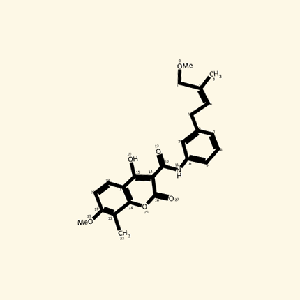 COCC(C)=CCc1cccc(NC(=O)c2c(O)c3ccc(OC)c(C)c3oc2=O)c1